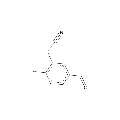 N#CCc1cc(C=O)ccc1F